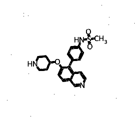 CS(=O)(=O)Nc1ccc(-c2c(OC3CCNCC3)ccc3cnccc23)cc1